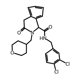 O=C(NCc1ccc(Cl)c(Cl)c1)C1c2ccccc2CC(=O)N1CC1CCOCC1